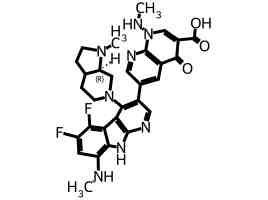 CNc1cc(F)c(F)c2c1[nH]c1ncc(-c3cnc4c(c3)c(=O)c(C(=O)O)cn4NC)c(N3CCC4CCN(C)[C@H]4C3)c12